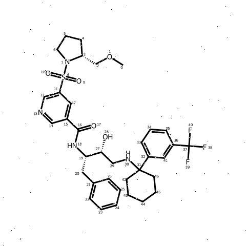 COC[C@H]1CCCN1S(=O)(=O)c1cncc(C(=O)N[C@@H](Cc2ccccc2)[C@H](O)CNC2(c3cccc(C(F)(F)F)c3)CCCCC2)c1